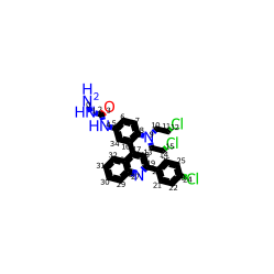 NNC(=O)Nc1ccc(N(CCCl)CCCl)c(-c2cc(-c3ccc(Cl)cc3)nc3ccccc23)c1